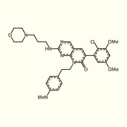 CNc1ccc(CCn2c(=O)c(-c3cc(OC)cc(OC)c3Cl)cc3cnc(NCCCN4CCOCC4)nc32)cc1